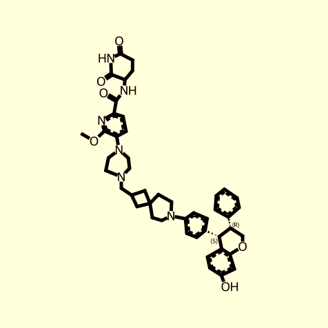 COc1nc(C(=O)NC2CCC(=O)NC2=O)ccc1N1CCN(CC2CC3(CCN(c4ccc([C@H]5c6ccc(O)cc6OC[C@H]5c5ccccc5)cc4)CC3)C2)CC1